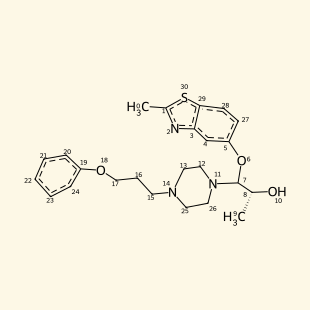 Cc1nc2cc(OC([C@@H](C)O)N3CCN(CCCOc4ccccc4)CC3)ccc2s1